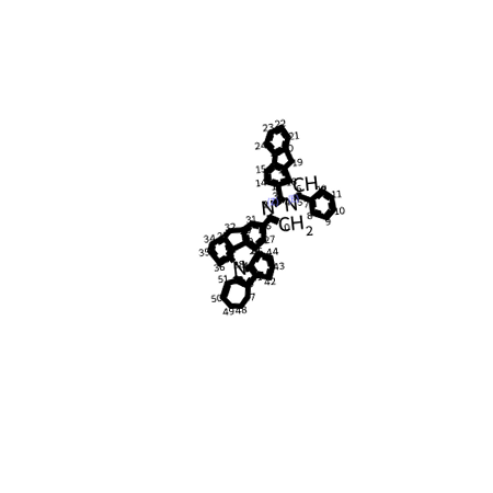 C=C(/N=C(\N=C(/C)c1ccccc1)c1ccc2c(c1)Cc1ccccc1-2)c1ccc2c(c1)Cc1cccc(-n3c4c(c5ccccc53)CCCC=C4)c1-2